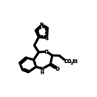 CCOC(=O)CC1OC(Cc2cncs2)C2C=CC=CC2NC1=O